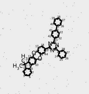 CC1(C)c2ccccc2-c2cc3c(cc21)Oc1ccc(-c2nc(-c4ccccc4)nc(-c4ccc(-c5ccccc5)cc4)n2)cc1O3